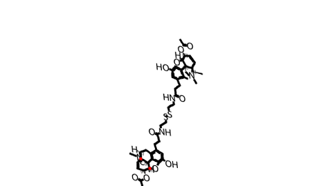 CC(=O)O[C@H]1C=CC2[C@@H](C)N(C)CC[C@@]23c2c(C)c(CCC(=O)NCCSSCCNC(=O)CCc4cc(O)c5c6c4C[C@H]4C7C=C[C@@H](OC(C)=O)[C@@H](O5)[C@@]67CCN4C)cc(O)c2O[C@@H]13